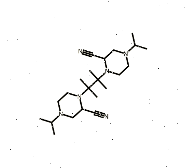 CC(C)N1CCN(C(C)(C)C(C)(C)N2CCN(C(C)C)CC2C#N)C(C#N)C1